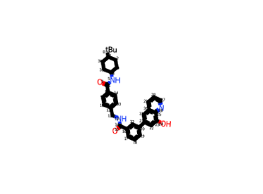 CC(C)(C)C1CCC(NC(=O)c2ccc(CNC(=O)c3cccc(-c4cc(O)c5ncccc5c4)c3)cc2)CC1